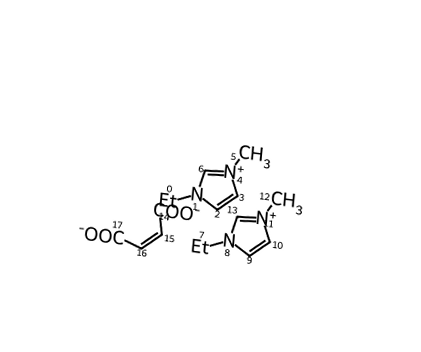 CCn1cc[n+](C)c1.CCn1cc[n+](C)c1.O=C([O-])/C=C\C(=O)[O-]